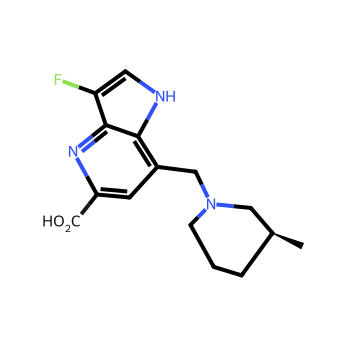 C[C@H]1CCCN(Cc2cc(C(=O)O)nc3c(F)c[nH]c23)C1